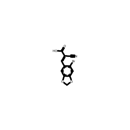 N#CC(=Cc1cc2c(cc1Br)OCO2)C(=O)O